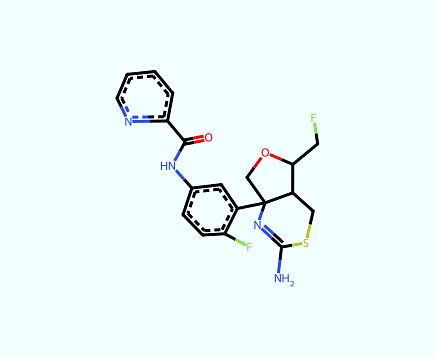 NC1=NC2(c3cc(NC(=O)c4ccccn4)ccc3F)COC(CF)C2CS1